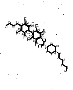 CCCCCC[C@H]1CC[C@H](C(=O)Oc2c(F)c(F)c(-c3c(F)c(F)c(CCCC)c(F)c3F)c(F)c2F)CC1